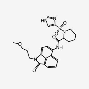 COCCCN1C(=O)c2cccc3c(NC(=O)C4CCCCN4S(=O)(=O)c4c[nH]cn4)ccc1c23